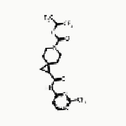 O=C(Nc1ccnc(C(F)(F)F)n1)C1CC12CCN(C(=O)OC(C(F)(F)F)C(F)(F)F)CC2